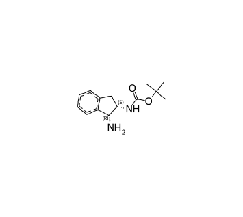 CC(C)(C)OC(=O)N[C@H]1Cc2ccccc2[C@H]1N